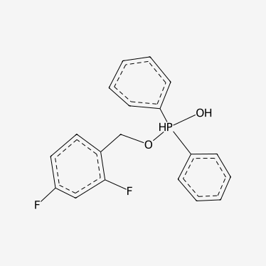 O[PH](OCc1ccc(F)cc1F)(c1ccccc1)c1ccccc1